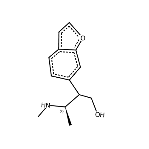 CN[C@H](C)C(CO)c1ccc2ccoc2c1